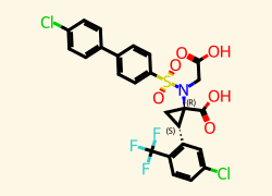 O=C(O)CN([C@]1(C(=O)O)C[C@H]1c1cc(Cl)ccc1C(F)(F)F)S(=O)(=O)c1ccc(-c2ccc(Cl)cc2)cc1